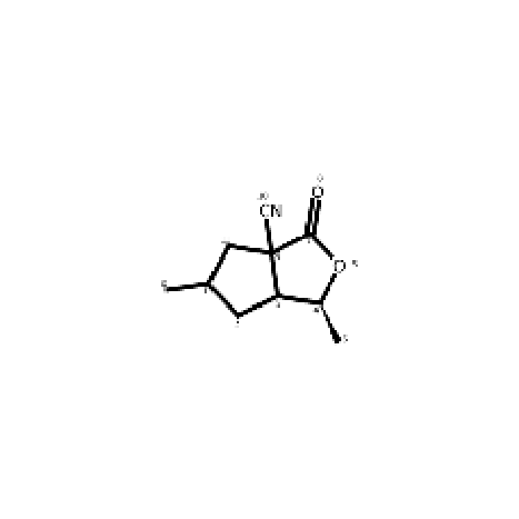 CC1CC2[C@H](C)OC(=O)C2(C#N)C1